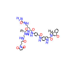 CC(C)[C@H](NCCNC(=O)CCCN1C(=O)C=CC1=O)C(=O)N[C@@H](CCCCNC1OC1N)C(=O)Nc1ccc(C(=O)Nc2ccc3[nH]c(C(=O)N4C[C@H]5CC56C4=CC(=O)c4ccccc46)cc3c2)cc1